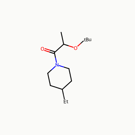 CCC1CCN(C(=O)C(C)OC(C)(C)C)CC1